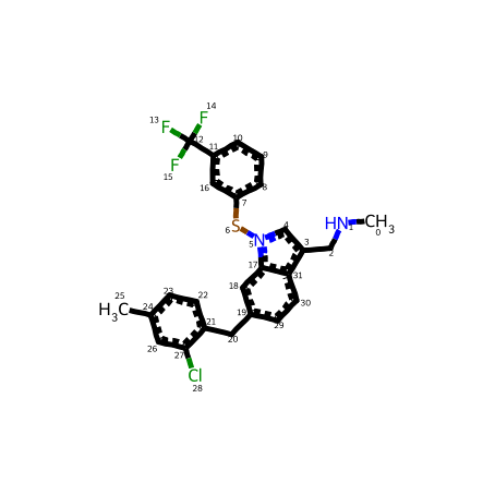 CNCc1cn(Sc2cccc(C(F)(F)F)c2)c2cc(Cc3ccc(C)cc3Cl)ccc12